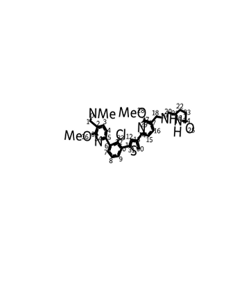 CNCc1ccc(-c2cccc(-c3cc(-c4ccc(CNCC5CCC(=O)N5)c(OC)n4)cs3)c2Cl)nc1OC